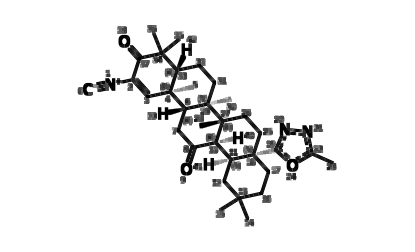 [C-]#[N+]C1=C[C@]2(C)[C@H]3CC(=O)[C@@H]4[C@@H]5CC(C)(C)CC[C@]5(c5nnc(C)o5)CC[C@@]4(C)[C@]3(C)CC[C@H]2C(C)(C)C1=O